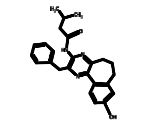 CC(C)CC(=O)Nc1nc2c(nc1Cc1ccccc1)-c1ccc(O)cc1CCC2